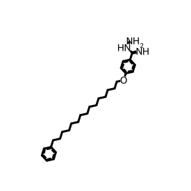 N=C(NN)c1ccc(OCCCCCCCCCCCCCCCc2ccccc2)cc1